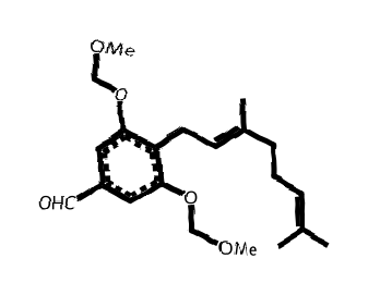 COCOc1cc(C=O)cc(OCOC)c1C/C=C(\C)CCC=C(C)C